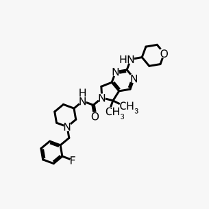 CC1(C)c2cnc(NC3CCOCC3)nc2CN1C(=O)NC1CCCN(Cc2ccccc2F)C1